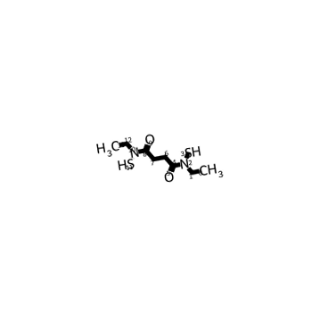 CCN(S)C(=O)CCC(=O)N(S)CC